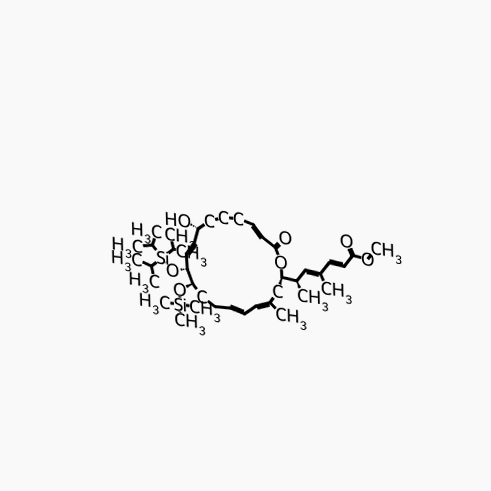 COC(=O)/C=C/C(C)=C/[C@@H](C)[C@H]1C/C(C)=C/C=C/CC[C@@H](O[Si](C)(C)C)[C@H](O[Si](C(C)C)(C(C)C)C(C)C)/C=C/[C@H](O)CCC/C=C/C(=O)O1